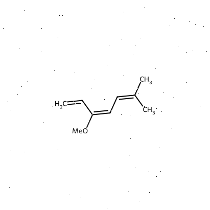 C=C/C(=C\C=C(C)C)OC